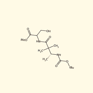 COC(=O)C(CO)NC(=O)C(C)(C)[C@@H](C)NC(=O)OC(C)(C)C